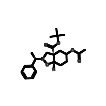 CC(=O)OC1CC[C@@H]2ON([C@H](C)c3ccccc3)C[C@@]2(C(=O)OC(C)(C)C)C1